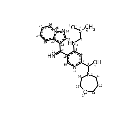 C[S+]([O-])CNc1cc(C(O)N2CCCOCC2)ncc1C(=N)c1cnn2ccccc12